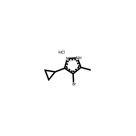 Cc1[nH]nc(C2CC2)c1Br.Cl